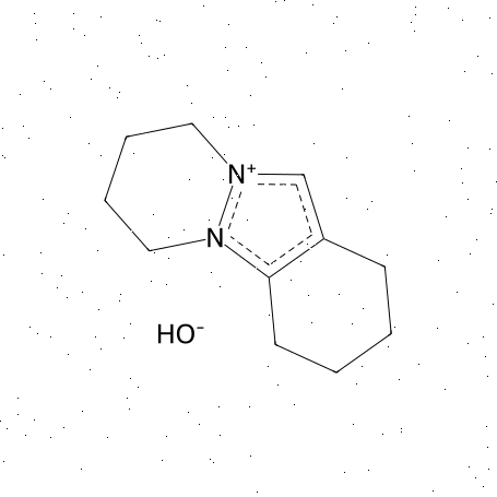 [OH-].c1c2c(n3[n+]1CCCC3)CCCC2